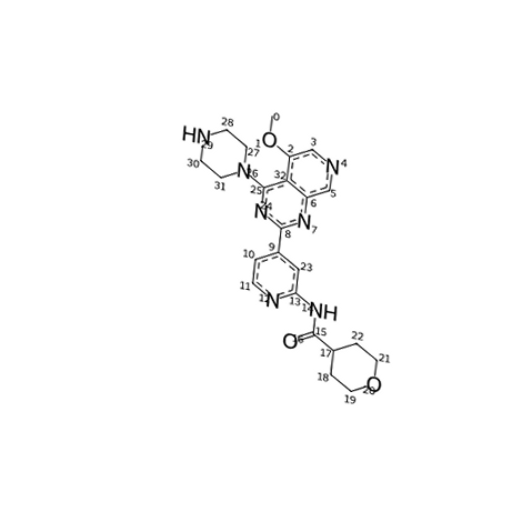 COc1cncc2nc(-c3ccnc(NC(=O)C4CCOCC4)c3)nc(N3CCNCC3)c12